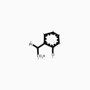 CC(C)C(C(=O)O)c1ccccc1Cl